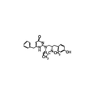 C=CCN(CC(Cc1ccc(O)cc1)N(C)C)c1nc(=O)cc(Cc2ccccc2)[nH]1